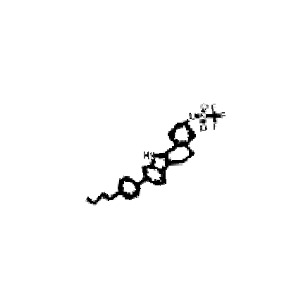 CCCCc1ccc(-c2ccc3c4c([nH]c3c2)-c2ccc(OS(=O)(=O)C(F)(F)F)cc2CC4)cc1